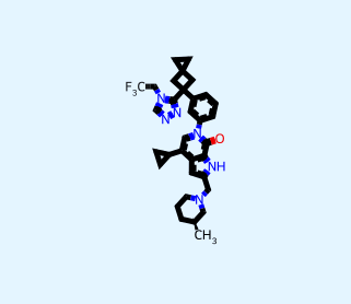 C[C@H]1CCCN(Cc2cc3c(C4CC4)cn(-c4cccc(C5(c6nncn6CC(F)(F)F)CC6(CC6)C5)c4)c(=O)c3[nH]2)C1